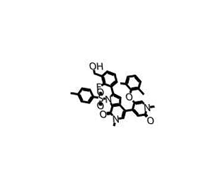 Cc1ccc(S(=O)(=O)n2c(-c3cccc(CO)c3F)cc3c(-c4cc(=O)n(C)cc4Oc4c(C)cccc4C)cn(C)c(=O)c32)cc1